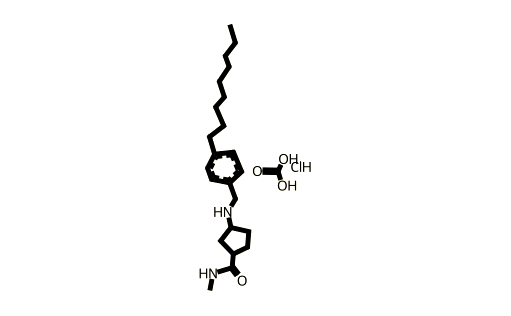 CCCCCCCCCc1ccc(CNC2CCC(C(=O)NC)C2)cc1.Cl.O=C(O)O